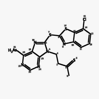 CC(=S)CCn1c(Sc2nc3cccc(Cl)c3s2)nc2c([AsH2])ncnc21